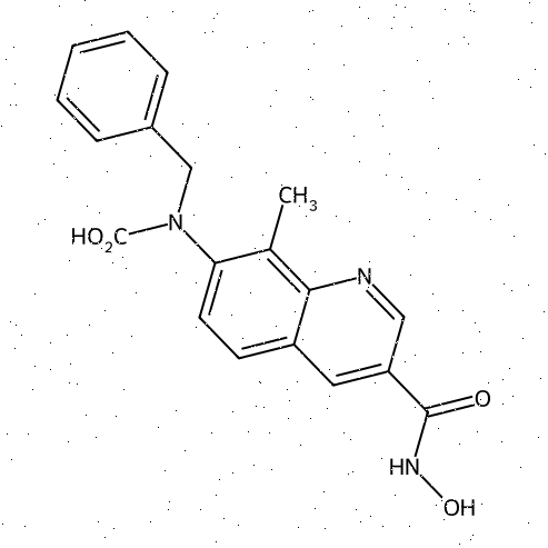 Cc1c(N(Cc2ccccc2)C(=O)O)ccc2cc(C(=O)NO)cnc12